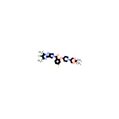 Cc1nc2c3c(nn2c(C)c1Cl)CN(C(=O)c1ccc(F)cc1OC1CCN(C2COC(C)(C)OC2)CC1)C3